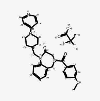 COc1ccc(C(=O)N2CC(=O)N(CC3CCN(c4ccncc4)CC3)c3ccccc3C2)cc1.O=C(O)C(F)(F)F